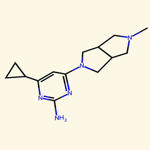 CN1CC2CN(c3cc(C4CC4)nc(N)n3)CC2C1